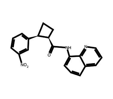 O=C(Nc1cccc2cccnc12)[C@@H]1CC[C@@H]1c1cccc([N+](=O)[O-])c1